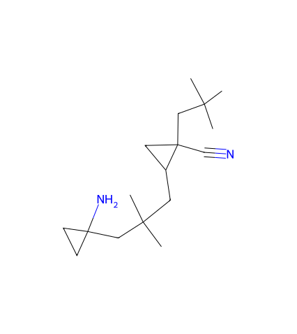 CC(C)(C)CC1(C#N)CC1CC(C)(C)CC1(N)CC1